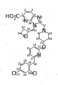 O=C(O)c1ccc2nc(CN3CCC(Oc4cccc(Cc5ccc(Cl)cc5Cl)n4)CC3)n(C[C@@H]3CCO3)c2n1